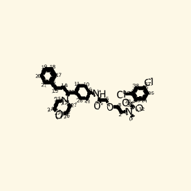 CN(CCOCC(=O)NC1CCC(C(CCc2ccccc2)N2CCOCC2)CC1)S(=O)(=O)c1ccc(Cl)cc1Cl